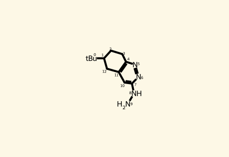 CC(C)(C)C1CCc2nnc(NN)cc2C1